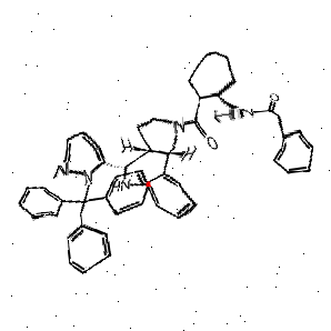 O=C(N[C@@H]1CCCC[C@@H]1C(=O)N1CC[C@H]2[C@@H](c3ccnn3C(c3ccccc3)(c3ccccc3)c3ccccc3)Nc3ccccc3[C@H]21)c1ccccc1